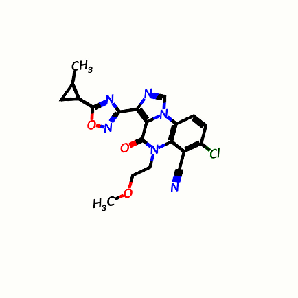 COCCn1c(=O)c2c(-c3noc(C4CC4C)n3)ncn2c2ccc(Cl)c(C#N)c21